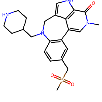 Cn1cc2c3c(c[nH]c3c1=O)CN(CC1CCNCC1)c1ccc(CS(C)(=O)=O)cc1-2